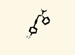 FC(=S)N(CC#Cc1ccc(C(F)(F)F)cc1)c1ccccc1